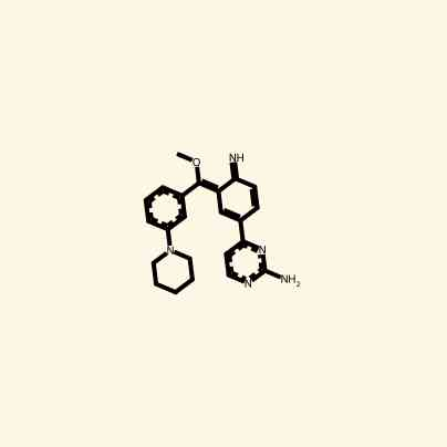 CO/C(=C1/C=C(c2ccnc(N)n2)C=CC1=N)c1cccc(N2CCCCC2)c1